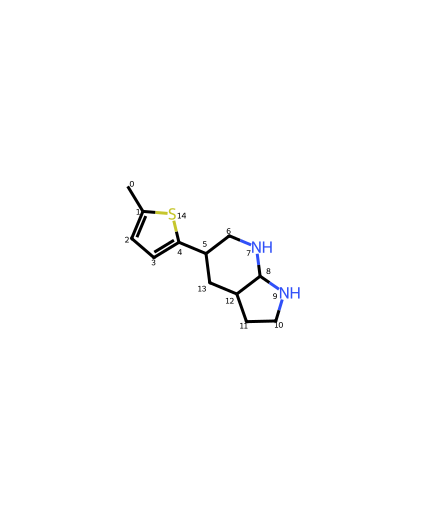 Cc1ccc(C2CNC3NCCC3C2)s1